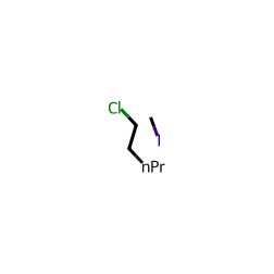 CCCCCCl.CI